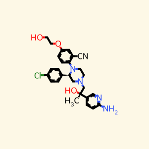 C[C@@](O)(CN1CCN(c2ccc(OCCO)cc2C#N)[C@H](c2ccc(Cl)cc2)C1)c1ccc(N)nc1